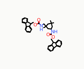 CC1(C)CC(NC(=O)OCC2c3ccccc3-c3ccccc32)CC(C)(CNC(=O)OCC2c3ccccc3-c3ccccc32)C1